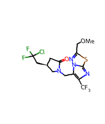 COCc1nn2c(CN3C[C@@H](CC(F)(F)Cl)CC3=O)c(C(F)(F)F)nc2s1